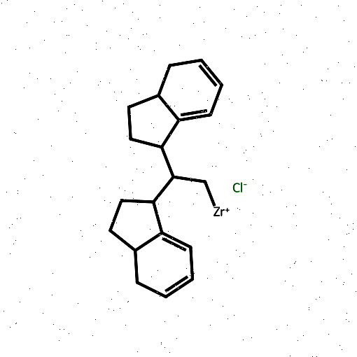 [Cl-].[Zr+][CH2]C(C1CCC2CC=CC=C21)C1CCC2CC=CC=C21